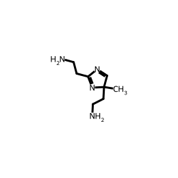 CC1(CCN)C=NC(CCN)=N1